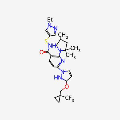 CCn1cc(SNC(=O)c2ccc(N3C=CC(OCC4(C(F)(F)F)CC4)N3)nc2N2CC(C)CC2(C)C)cn1